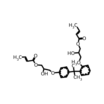 CC=CC(=O)OCC(O)COc1ccc(C(C)(C)c2ccccc2OCC(O)COC(=O)C=CC)cc1